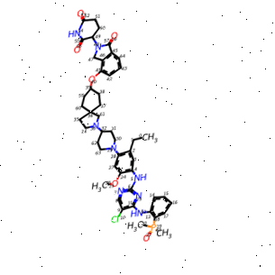 CCc1cc(Nc2ncc(Cl)c(Nc3ccccc3P(C)(C)=O)n2)c(OC)cc1N1CCC(N2CCC3(CCC(Oc4cccc5c4CN(C4CCC(=O)NC4=O)C5=O)CC3)C2)CC1